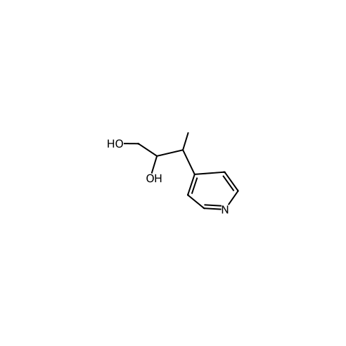 CC(c1ccncc1)C(O)CO